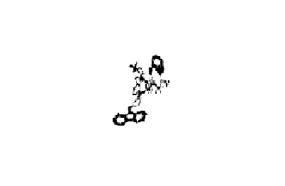 CC(C)(C)OC(=O)N(NC(=O)OCC1c2ccccc2-c2ccccc21)[C@@H](Cc1ccccc1)C(=O)O